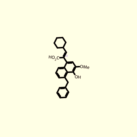 COc1cc(/C(=C/C2CCCCC2)C(=O)O)c2cccc(Cc3ccccc3)c2c1O